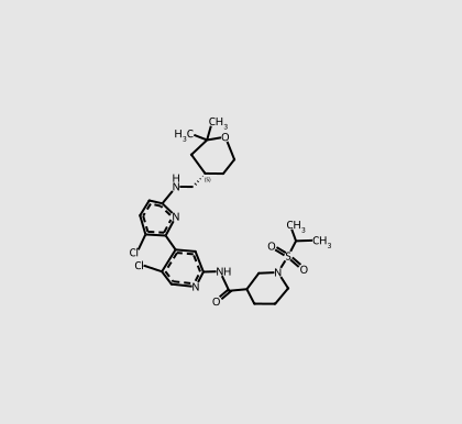 CC(C)S(=O)(=O)N1CCCC(C(=O)Nc2cc(-c3nc(NC[C@H]4CCOC(C)(C)C4)ccc3Cl)c(Cl)cn2)C1